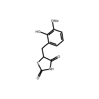 COc1cccc(CC2SC(=O)NC2=O)c1O